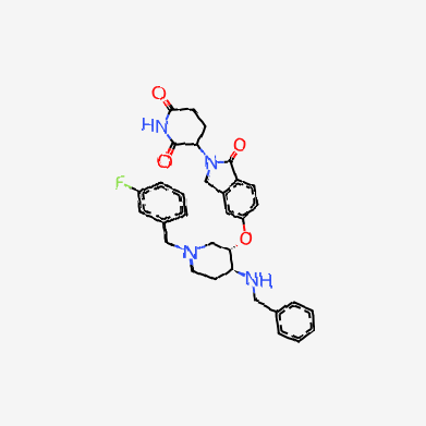 O=C1CCC(N2Cc3cc(O[C@H]4CN(Cc5cccc(F)c5)CC[C@@H]4NCc4ccccc4)ccc3C2=O)C(=O)N1